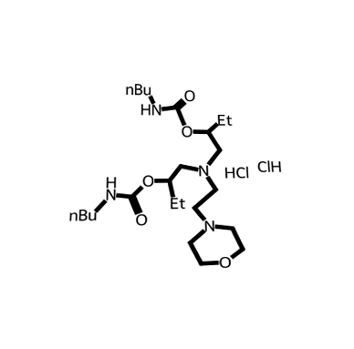 CCCCNC(=O)OC(CC)CN(CCN1CCOCC1)CC(CC)OC(=O)NCCCC.Cl.Cl